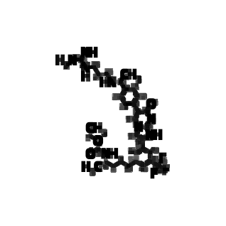 CCOC(=O)N[C@@H](C)CCCc1cc(-c2cn3cc(-c4ccc([C@H](C)NCCCNC(=N)N)cc4)c(=O)nc3[nH]2)cc(C(F)(F)F)c1